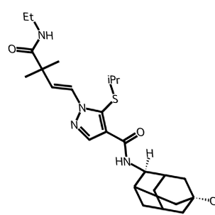 CCNC(=O)C(C)(C)/C=C/n1ncc(C(=O)N[C@H]2C3CC4CC2C[C@](O)(C4)C3)c1SC(C)C